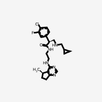 C[C@@H]1CCc2ncnc(NCCNC(=O)[C@H](CNCC3CC3)c3ccc(Cl)c(F)c3)c21